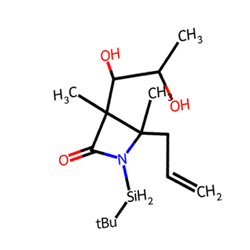 C=CCC1(C)N([SiH2]C(C)(C)C)C(=O)C1(C)C(O)C(C)O